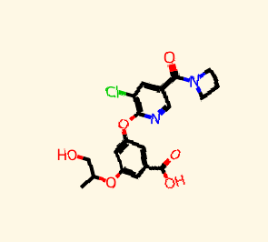 CC(CO)Oc1cc(Oc2ncc(C(=O)N3CCC3)cc2Cl)cc(C(=O)O)c1